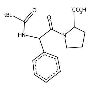 CC(C)(C)C(=O)NC(C(=O)N1CCCC1C(=O)O)c1ccccc1